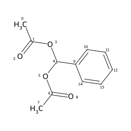 CC(=O)O[C](OC(C)=O)c1ccccc1